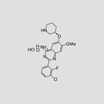 COc1cc2nc(-c3cccc(Cl)c3F)nc(N)c2cc1O[C@@H]1CCCNC1.Cl.Cl